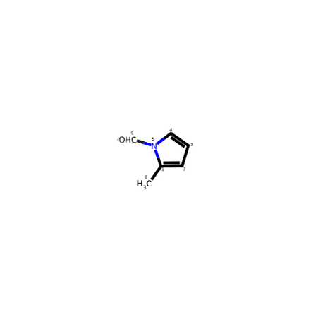 Cc1cccn1[C]=O